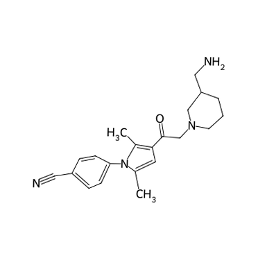 Cc1cc(C(=O)CN2CCCC(CN)C2)c(C)n1-c1ccc(C#N)cc1